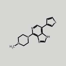 CN1CCN(c2ncc(-c3ccsc3)c3[nH]cnc23)CC1